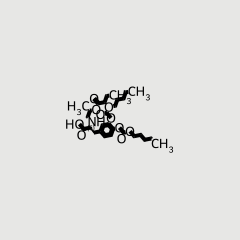 CCCCCOC(=O)Oc1ccc(C[C@H](NCC(C)OC(=O)CCC)C(=O)O)cc1OC(=O)OCCCCC